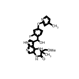 COCC1(C)Nc2c(cnc3[nH]cc(C(O)c4ccc(Oc5cc(C)ccn5)cc4F)c23)NC1=O